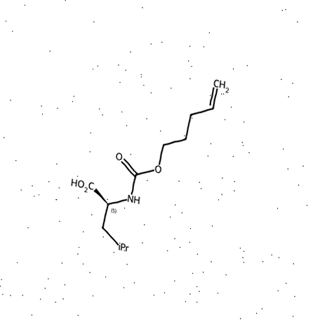 C=CCCCOC(=O)N[C@@H](CC(C)C)C(=O)O